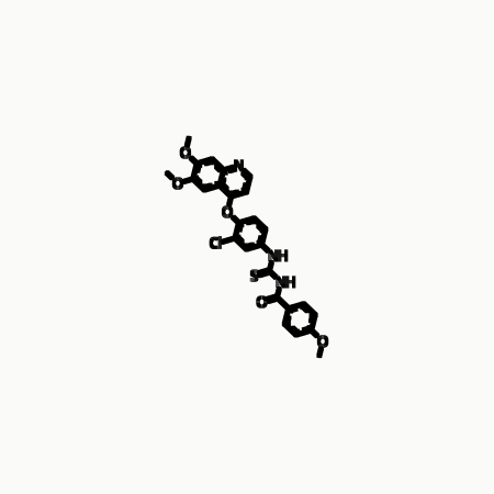 COc1ccc(C(=O)NC(=S)Nc2ccc(Oc3ccnc4cc(OC)c(OC)cc34)c(Cl)c2)cc1